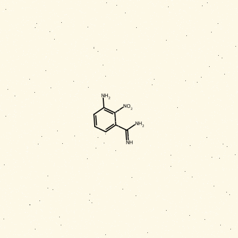 N=C(N)c1cccc(N)c1[N+](=O)[O-]